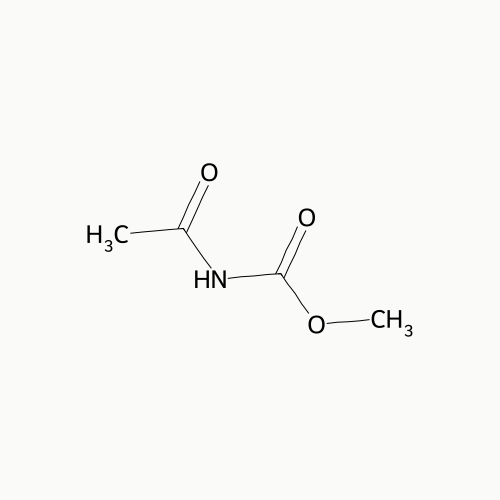 COC(=O)NC(C)=O